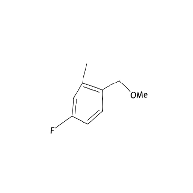 COCc1ccc(F)cc1C